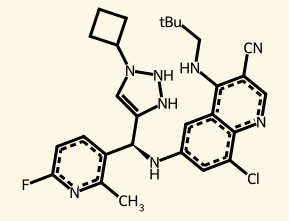 Cc1nc(F)ccc1[C@H](Nc1cc(Cl)c2ncc(C#N)c(NCC(C)(C)C)c2c1)C1=CN(C2CCC2)NN1